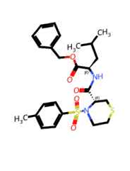 Cc1ccc(S(=O)(=O)N2CCSC[C@H]2C(=O)N[C@H](CC(C)C)C(=O)OCc2ccccc2)cc1